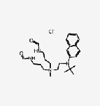 CC(C)(C)N(CC[N+](C)(CCCNC=O)CCCNC=O)c1ccc2ccccc2c1.[Cl-]